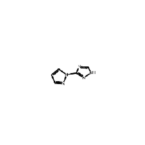 c1cnn(-c2nc[nH]n2)c1